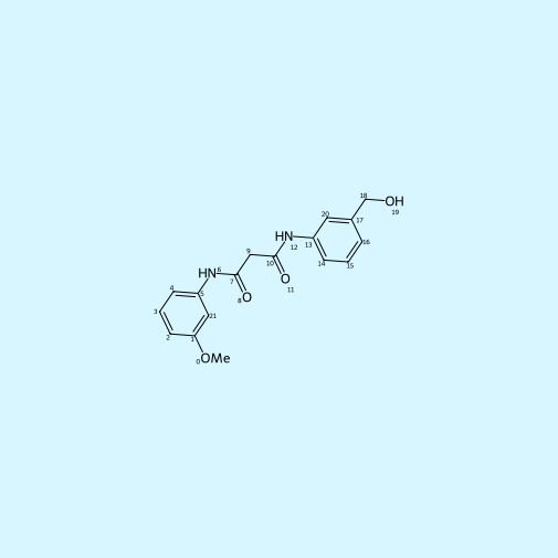 COc1cccc(NC(=O)CC(=O)Nc2cccc(CO)c2)c1